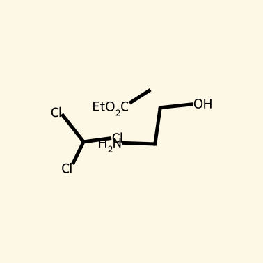 CCOC(C)=O.ClC(Cl)Cl.NCCO